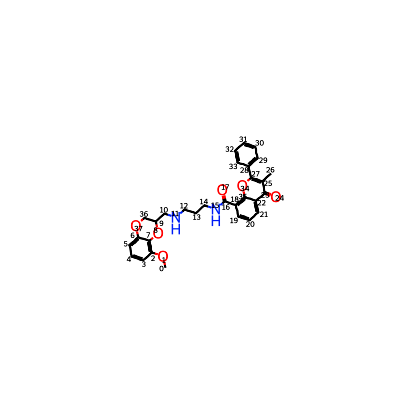 COc1cccc2c1OC(CNCCCNC(=O)c1cccc3c(=O)c(C)c(-c4ccccc4)oc13)CO2